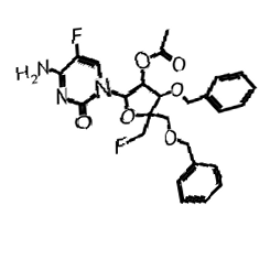 CC(=O)OC1C(n2cc(F)c(N)nc2=O)OC(CF)(COCc2ccccc2)C1OCc1ccccc1